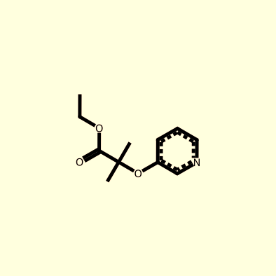 CCOC(=O)C(C)(C)Oc1cccnc1